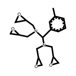 Cc1cccc(C(N(CC2CO2)CC2CO2)N(CC2CO2)CC2CO2)c1